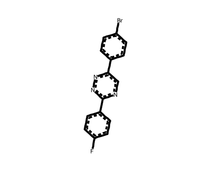 Fc1ccc(-c2ncc(-c3ccc(Br)cc3)nn2)cc1